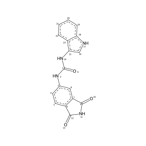 O=C(Nc1ccc2c(c1)C(=O)NC2=O)Nc1c[nH]c2ccccc12